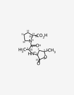 CC1CC(N[C@@H](C)C(=O)N2CCC[C@H]2C(=O)O)C(=O)O1